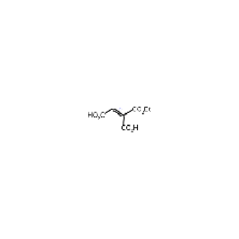 CCOC(=O)/C(=C/C(=O)O)C(=O)O